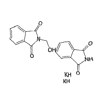 O=C1NC(=O)c2ccccc21.O=C1c2ccccc2C(=O)N1CO.[KH].[KH]